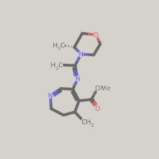 COC(=O)C1=C(/N=C(\C)N2CCOC[C@H]2C)C=NCCC1C